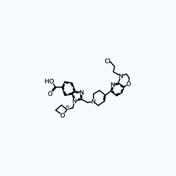 O=C(O)c1ccc2nc(CN3CC=C(c4ccc5c(n4)N(CCCl)CCO5)CC3)n(C[C@@H]3CCO3)c2c1